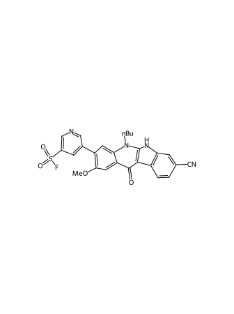 CCCCn1c2cc(-c3cncc(S(=O)(=O)F)c3)c(OC)cc2c(=O)c2c3ccc(C#N)cc3[nH]c21